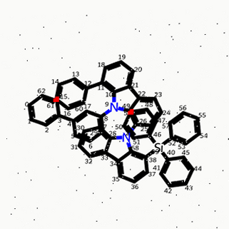 c1ccc(-c2cccc(-n3c4c(-c5ccccc5)cccc4c4cccc(-n5c6ccccc6c6cccc([Si](c7ccccc7)(c7ccccc7)c7ccccc7)c65)c43)c2)cc1